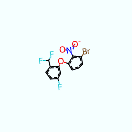 O=[N+]([O-])c1c(Br)cccc1Oc1cc(F)ccc1C(F)F